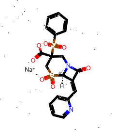 O=C1C(=Cc2ccccn2)[C@@H]2N1CC(C(=O)[O-])(S(=O)(=O)c1ccccc1)CS2(=O)=O.[Na+]